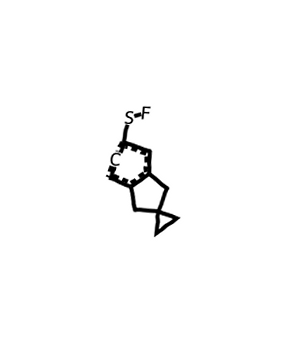 FSc1ccc2c(c1)CC1(CC1)C2